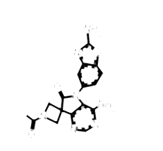 CC(=O)N1CC2(C1)C(=O)N(c1ccc3oc(N)nc3c1)c1c(N)ncnc12